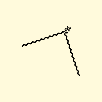 CCCCCCCCCCCCCCCCCCCC[Si](C)(CCCCCCCCCCCCCCCCCCCC)O[Si](C)(C)C